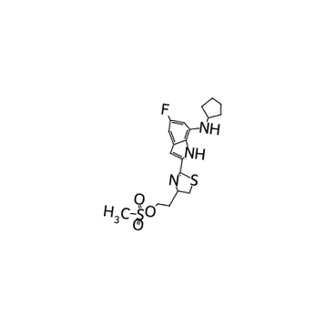 CS(=O)(=O)OCCC1CSC(c2cc3cc(F)cc(NC4CCCC4)c3[nH]2)=N1